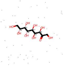 O=C(CO)[C@H](O)[C@@H](O)[C@H](O)[C@H](O)[C@@H](O)[C@H](O)CO